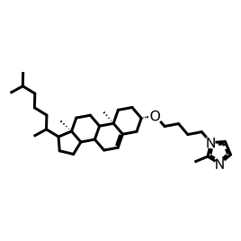 Cc1nccn1CCCCO[C@H]1CC[C@@]2(C)C(=CCC3C4CCC(C(C)CCCC(C)C)[C@@]4(C)CCC32)C1